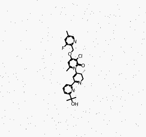 Cc1cnc(COc2cc(C)n(C3=CC(c4cccc(C(C)(C)O)n4)=NC[C@H]3C)c(=O)c2Cl)c(F)c1